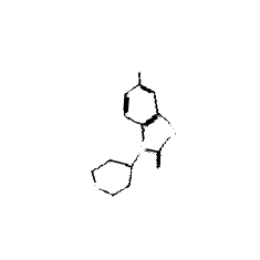 O=c1[nH]c2cc(Cl)ccc2n1C1CCNCC1